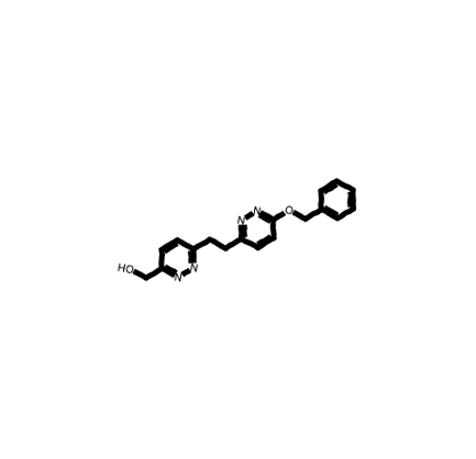 OCc1ccc(CCc2ccc(OCc3ccccc3)nn2)nn1